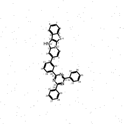 C1=CN2c3sc4ccccc4c3NC2C=C1c1cccc(-c2nc(-c3ccccc3)nc(-c3ccccc3)n2)c1